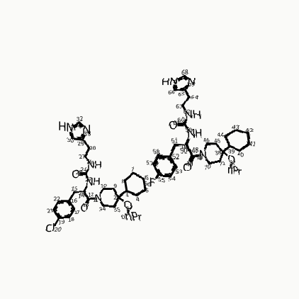 CCCOC1(C2CCCCC2)CCN(C(=O)[C@@H](Cc2ccc(Cl)cc2)NC(=O)NCCc2c[nH]cn2)CC1.CCCOC1(C2CCCCC2)CCN(C(=O)[C@@H](Cc2ccc(F)cc2)NC(=O)NCCc2c[nH]cn2)CC1